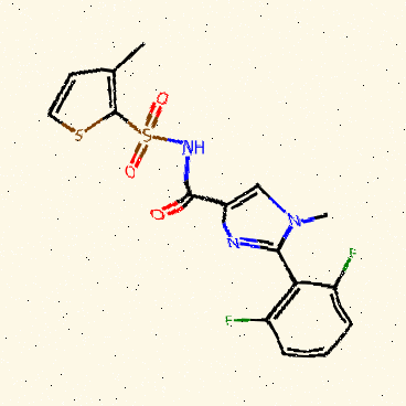 Cc1ccsc1S(=O)(=O)NC(=O)c1cn(C)c(-c2c(F)cccc2F)n1